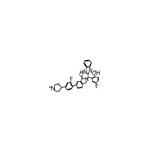 CN1CCC(c2ccc(-c3ccc4c(c3)C(=O)N(C(c3nc5ccccc5[nH]3)c3cc(F)ccc3O)C4)c(F)c2)CC1